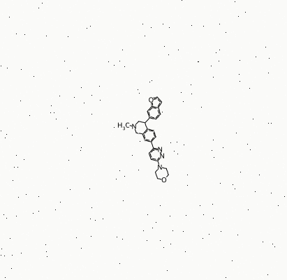 CN1Cc2cc(-c3ccc(N4CCOCC4)nn3)ccc2C(c2ccc3ccoc3c2)C1